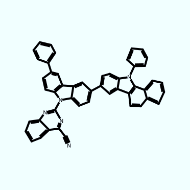 N#Cc1nc(-n2c3ccc(-c4ccccc4)cc3c3cc(-c4ccc5c(c4)c4ccc6ccccc6c4n5-c4ccccc4)ccc32)nc2ccccc12